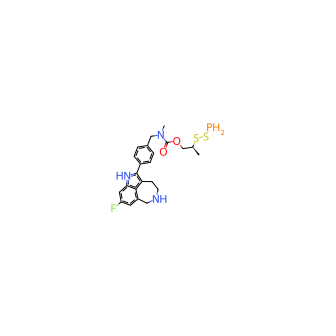 C[C@@H](COC(=O)N(C)Cc1ccc(-c2[nH]c3cc(F)cc4c3c2CCNC4)cc1)SSP